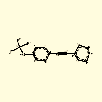 FC(F)(F)Oc1ccc(C#Cc2ccccc2)cc1